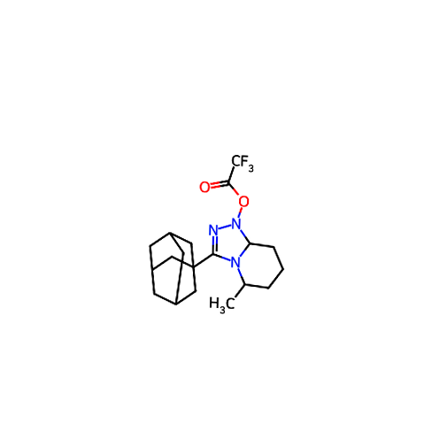 CC1CCCC2N(OC(=O)C(F)(F)F)N=C(C34CC5CC(CC(C5)C3)C4)N12